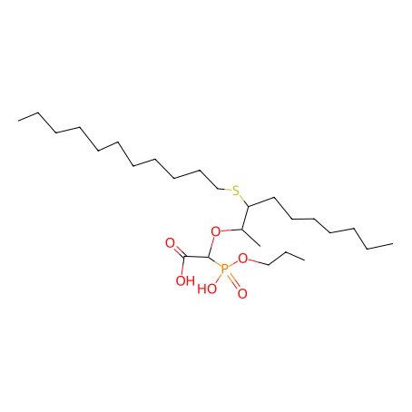 CCCCCCCCCCCSC(CCCCCCC)C(C)OC(C(=O)O)P(=O)(O)OCCC